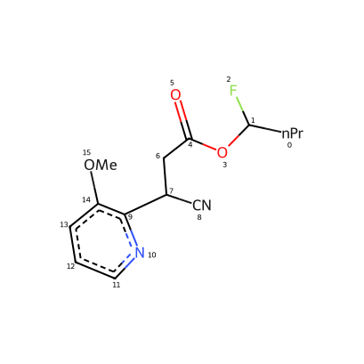 CCCC(F)OC(=O)CC(C#N)c1ncccc1OC